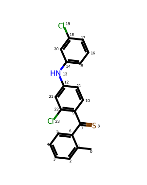 Cc1ccccc1C(=S)c1ccc(Nc2cccc(Cl)c2)cc1Cl